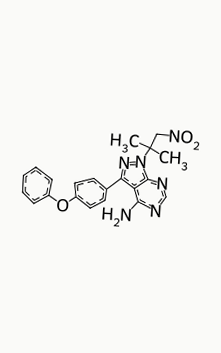 CC(C)(C[N+](=O)[O-])n1nc(-c2ccc(Oc3ccccc3)cc2)c2c(N)ncnc21